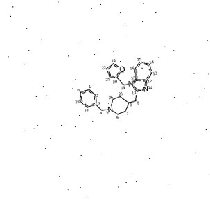 c1ccc(CN2CCC(Cc3nc4ccccc4n3Cc3ccco3)CC2)cc1